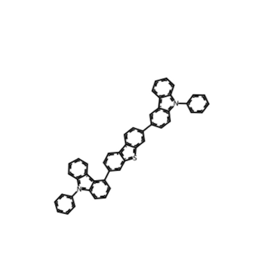 c1ccc(-n2c3ccccc3c3cc(-c4ccc5c(c4)sc4cc(-c6cccc7c6c6ccccc6n7-c6ccccc6)ccc45)ccc32)cc1